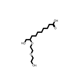 O=C(O)CCCCCCCC(CO)OCCOCCO